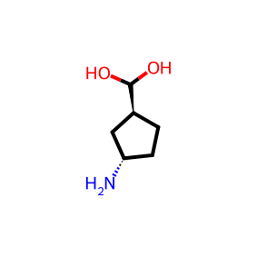 N[C@H]1CC[C@H](C(O)O)C1